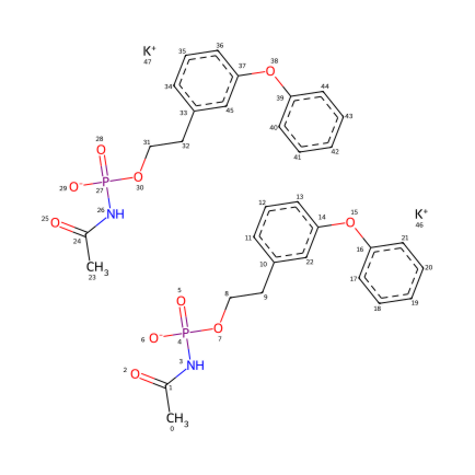 CC(=O)NP(=O)([O-])OCCc1cccc(Oc2ccccc2)c1.CC(=O)NP(=O)([O-])OCCc1cccc(Oc2ccccc2)c1.[K+].[K+]